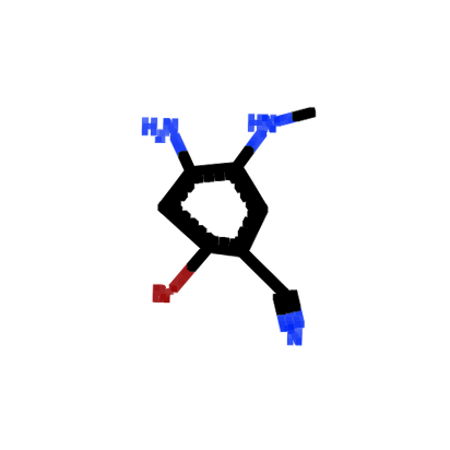 CNc1cc(C#N)c(Br)cc1N